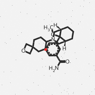 COC1(c2cccc(C(N)=O)c2)[C@@H]2CCC[C@H]1CN(C1CCC3(CC1)COC3)C2